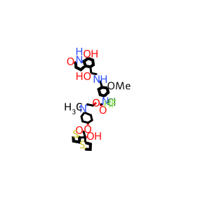 COc1cc(N(Cl)C(=O)OCCN(C)C2CCC(OC(=O)C(O)(c3cccs3)c3cccs3)CC2)ccc1CNCC(O)c1ccc(O)c2[nH]c(=O)ccc12.F